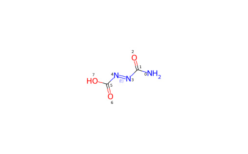 NC(=O)/N=N/C(=O)O